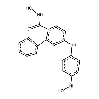 O=C(NO)c1ccc(Nc2ccc(NO)cc2)cc1-c1ccccc1